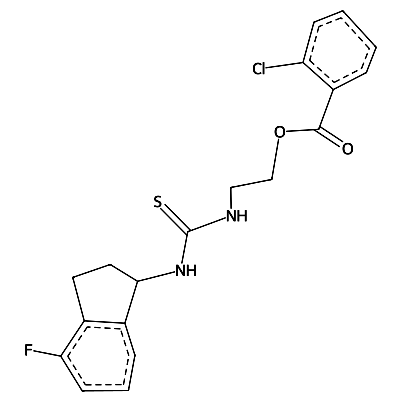 O=C(OCCNC(=S)NC1CCc2c(F)cccc21)c1ccccc1Cl